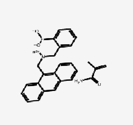 C=C(C)C(N)=O.CCCN(Cc1ccccc1B(O)O)Cc1c2ccccc2cc2ccccc12